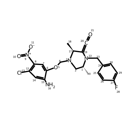 C[C@@H]1CN(COc2cc([N+](=O)[O-])c(Cl)cc2N)[C@@H](C)C(=C=O)N1Cc1ccc(F)cc1